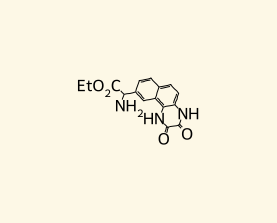 CCOC(=O)C(N)c1ccc2ccc3[nH]c(=O)c(=O)[nH]c3c2c1